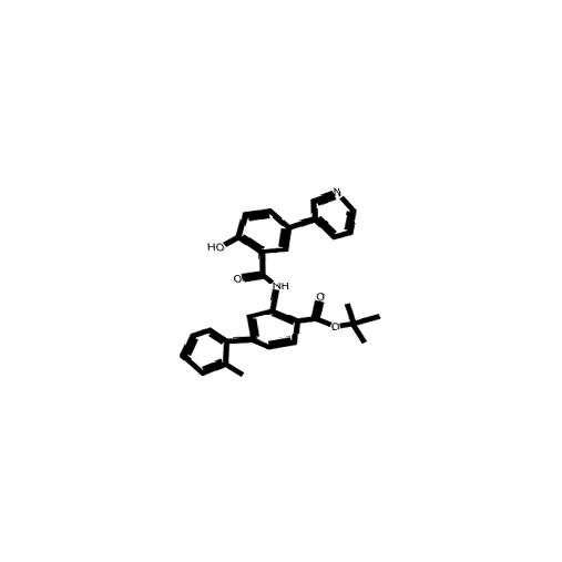 Cc1ccccc1-c1ccc(C(=O)OC(C)(C)C)c(NC(=O)c2cc(-c3cccnc3)ccc2O)c1